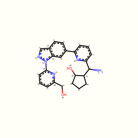 NC(c1cccc(-c2ccc3cnn(-c4cccc(CO)n4)c3c2)n1)C1CCCC1O